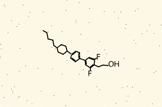 CCCCCC1CCC(c2ccc(-c3cc(F)c(CCCO)c(F)c3)cc2)CC1